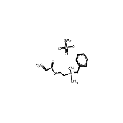 C=CC(=O)OCC[N+](C)(C)Cc1ccccc1.COS(=O)(=O)[O-]